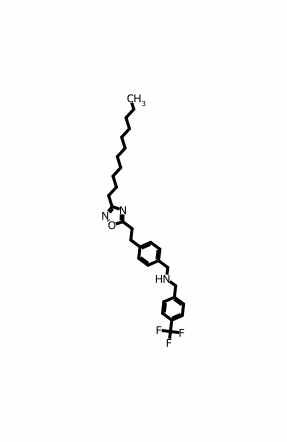 CCCCCCCCCCCc1noc(CCc2ccc(CNCc3ccc(C(F)(F)F)cc3)cc2)n1